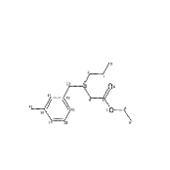 CCCC(CC(=O)OCC)Cc1cccc(C)c1